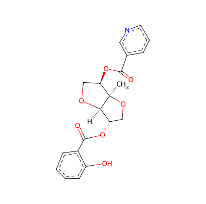 C[C@]12OC[C@H](OC(=O)c3ccccc3O)[C@H]1OC[C@H]2OC(=O)c1cccnc1